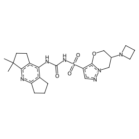 CC1(C)CCc2c1nc1c(c2NC(=O)NS(=O)(=O)c2cnn3c2OCC(N2CCC2)C3)CCC1